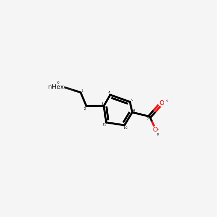 CCCCCCCCc1ccc(C([O])=O)cc1